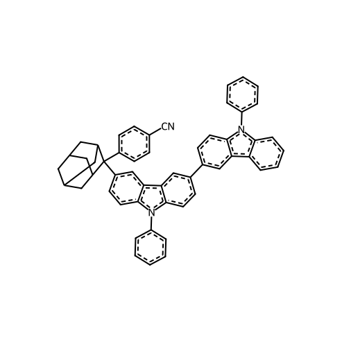 N#Cc1ccc(C2(c3ccc4c(c3)c3cc(-c5ccc6c(c5)c5ccccc5n6-c5ccccc5)ccc3n4-c3ccccc3)C3CC4CC(C3)CC2C4)cc1